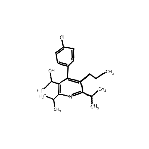 CCCc1c(C(C)C)nc(C(C)C)c(C(C)O)c1-c1ccc(Cl)cc1